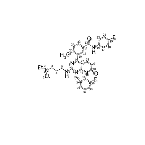 CCN(CC)CCCNc1nc(-c2cc(C(=O)Nc3ccc(F)cc3)ccc2C)c2ccc(=O)n(-c3c(F)cccc3F)c2n1